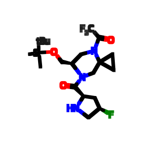 CC(C)(C)[Si](C)(C)OC[C@H]1CN(C(=O)C(F)(F)F)C2(CC2)CN1C(=O)[C@H]1C[C@@H](F)CN1